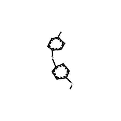 COc1ccc([I+]c2ccc(C)cc2)cc1